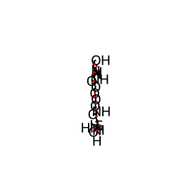 O=C(CCCC[C@@H]1SC[C@@H]2NC(=O)N[C@@H]21)NCCOCCOCCOCCOCCC(=O)NCc1cn(-c2ccc(CO)cc2)nn1